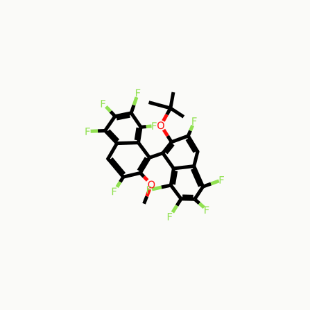 COc1c(F)cc2c(F)c(F)c(F)c(F)c2c1-c1c(OC(C)(C)C)c(F)cc2c(F)c(F)c(F)c(F)c12